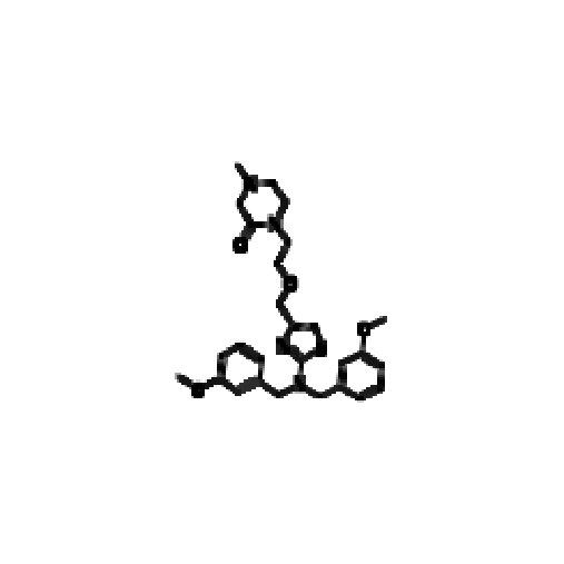 COc1cccc(CN(Cc2cccc(OC)c2)c2nc(COCCN3CCN(C)CC3=O)cs2)c1